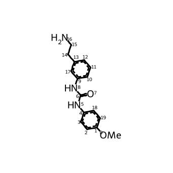 COc1ccc(NC(=O)Nc2cccc(CCN)c2)cc1